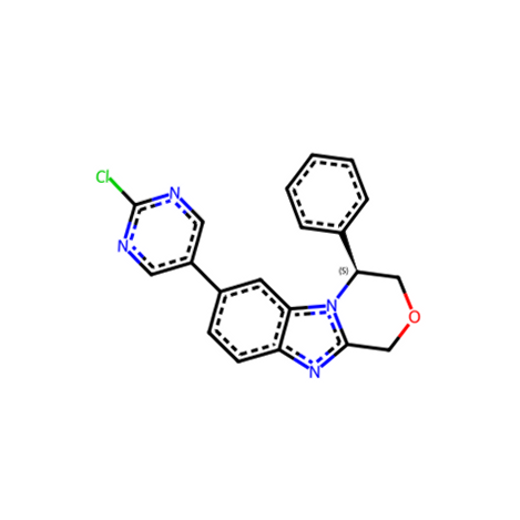 Clc1ncc(-c2ccc3nc4n(c3c2)[C@@H](c2ccccc2)COC4)cn1